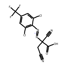 N#CCC(C#N)(/N=N/c1c(Cl)cc(C(F)(F)F)cc1Cl)C(=O)O